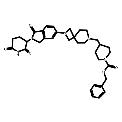 O=C1CCC(N2Cc3cc(N4CC5(CCN(CC6CCN(C(=O)OCc7ccccc7)CC6)CC5)C4)ccc3C2=O)C(=O)N1